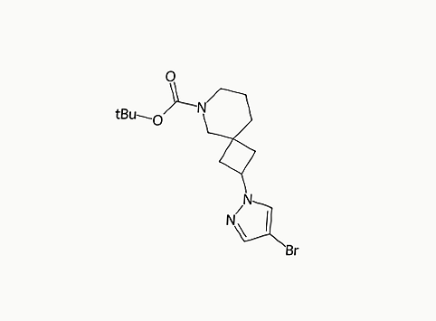 CC(C)(C)OC(=O)N1CCCC2(CC(n3cc(Br)cn3)C2)C1